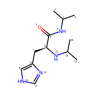 CC(C)NC(=O)[C@H](Cc1c[nH]cn1)NC(C)C